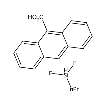 CCC[SiH](F)F.O=C(O)c1c2ccccc2cc2ccccc12